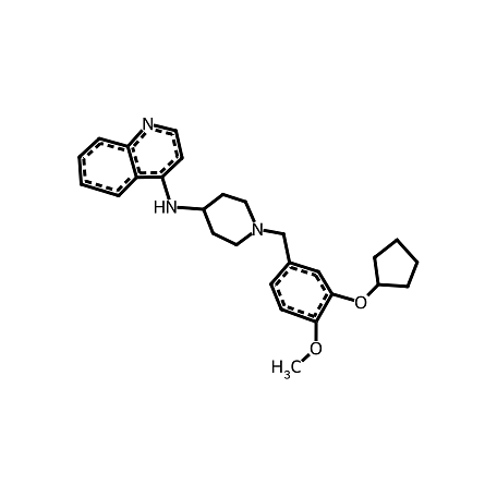 COc1ccc(CN2CCC(Nc3ccnc4ccccc34)CC2)cc1OC1CCCC1